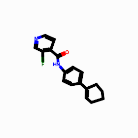 O=C(Nc1ccc(C2=CCCCC2)cc1)c1ccncc1F